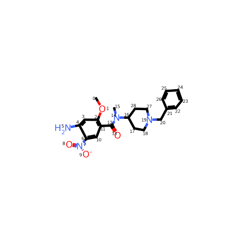 COc1cc(N)c([N+](=O)[O-])cc1C(=O)N(C)C1CCN(Cc2ccccc2)CC1